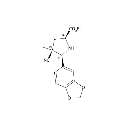 CCOC(=O)[C@@H]1C[C@](C)(C#N)[C@H](c2ccc3c(c2)OCO3)N1